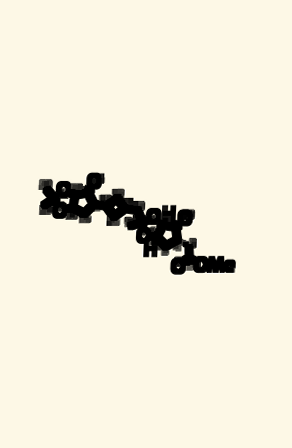 COC(=O)C[C@@H]1C[C@H]2OC(C)(CC3CC(C4CC5OC(C)(C)OC5C4=O)C3)O[C@H]2C1=O